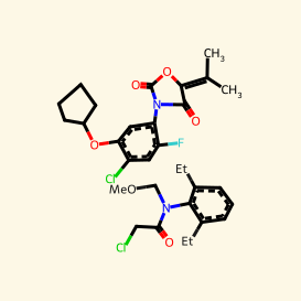 CC(C)=C1OC(=O)N(c2cc(OC3CCCC3)c(Cl)cc2F)C1=O.CCc1cccc(CC)c1N(COC)C(=O)CCl